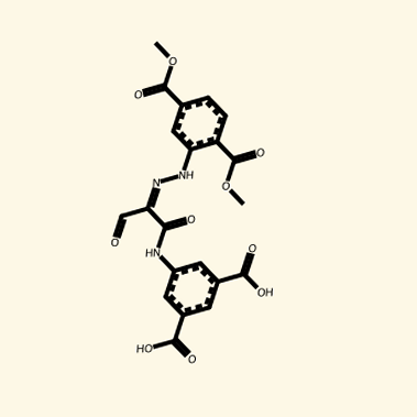 COC(=O)c1ccc(C(=O)OC)c(N/N=C(/C=O)C(=O)Nc2cc(C(=O)O)cc(C(=O)O)c2)c1